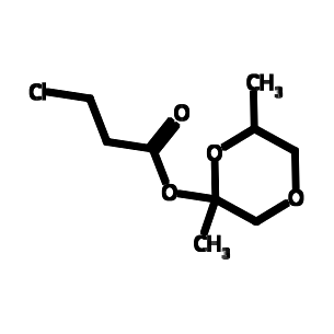 CC1COCC(C)(OC(=O)CCCl)O1